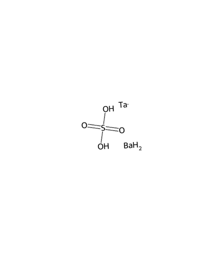 O=S(=O)(O)O.[BaH2].[Ta]